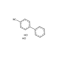 Cl.Cl.N#Cc1ccc(-c2ccccc2)cc1